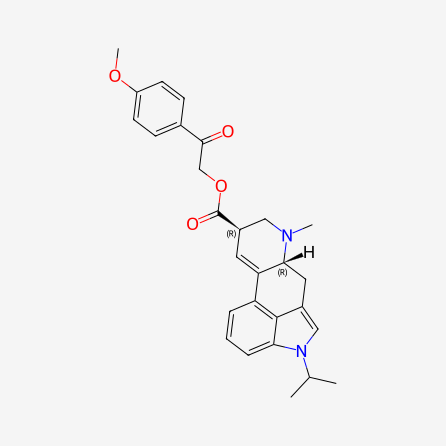 COc1ccc(C(=O)COC(=O)[C@@H]2C=C3c4cccc5c4c(cn5C(C)C)C[C@H]3N(C)C2)cc1